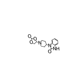 O=C1OCC(N2CCC(n3c(=O)[nH]c4ccccc43)CC2)O1